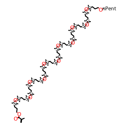 C=C(C)C(=O)OCCC[Si](C)(C)O[Si](C)(C)CC[Si](C)(C)O[Si](C)(C)CC[Si](C)(C)O[Si](C)(C)CC[Si](C)(C)O[Si](C)(C)CC[Si](C)(C)O[Si](C)(C)CC[Si](C)(C)O[Si](C)(C)CC[Si](C)(C)O[Si](C)(C)CC[Si](C)(C)O[Si](C)(C)CC[Si](C)(C)O[Si](C)(C)CC[Si](C)(C)O[Si](C)(C)CC[Si](C)(C)O[Si](C)(C)CCCOCCCCC